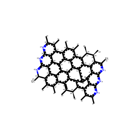 CCc1nc2nc3nc(C)c(C)c4c5c6c7c(c8c(C)c(C)c9c%10c%11c(nc%12nc(C)c(C)c%13c%14c(C)c(C)c%15c%16c%17c(c1[C@H](C)[C@@H]%16C)c2c(c34)c6c%17c1c%15c%14c(c%11c%12%13)c(c8%10)c71)=NC9CC)=C(C)[C@@H]5C